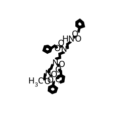 CC(=O)CN(CCCN(CCCCN(CCCNC(=O)OCc1ccccc1)C(=O)OCc1ccccc1)C(=O)OCc1ccccc1)C(=O)OCc1ccccc1